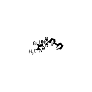 Cc1noc(NS(=O)(=O)c2ccc(-c3cccs3)s2)c1Br